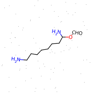 NCCCCCCCC(N)OC=O